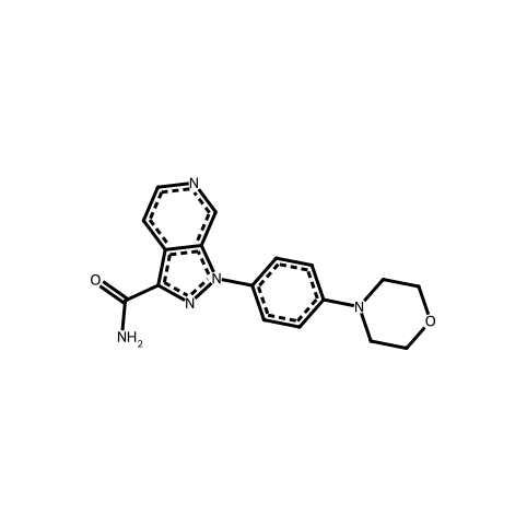 NC(=O)c1nn(-c2ccc(N3CCOCC3)cc2)c2cnccc12